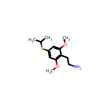 COc1cc(SC(C)C)cc(OC)c1CCN